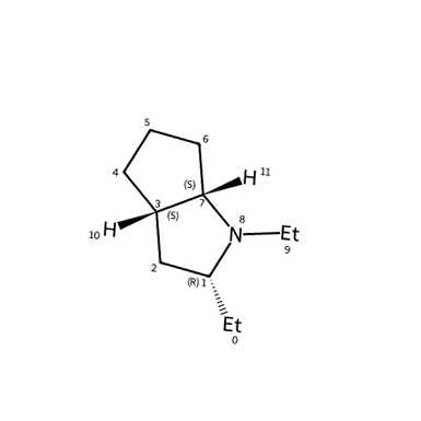 CC[C@@H]1C[C@@H]2CCC[C@@H]2N1CC